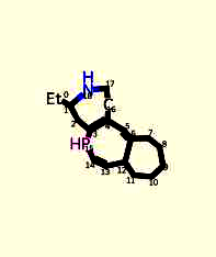 CCC1CC2=C(/C=C3/CCCCCC3/C=C\P2)CCN1